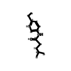 CCc1ccc(NC(=O)CCC(C)C)cn1